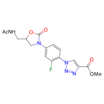 COC(=O)c1cn(-c2ccc(N3CC(CNC(C)=O)OC3=O)cc2F)nn1